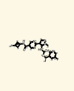 C[C@@H](OC(=O)Nc1c(-c2ncc(C(=O)NC34CC(F)(C3)C4)cn2)cnn1C)c1cc(F)cnc1F